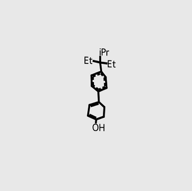 CCC(CC)(c1ccc(C2=CC=C(O)CC2)cc1)C(C)C